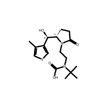 Cc1cscc1[C@@H](O)[C@@H]1CCC(=O)N1CCN(C(=O)O)C(C)(C)C